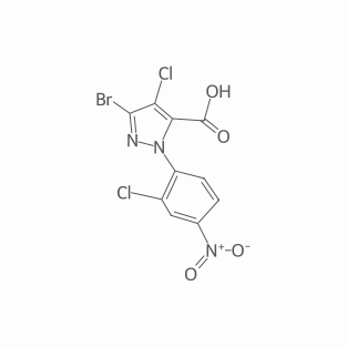 O=C(O)c1c(Cl)c(Br)nn1-c1ccc([N+](=O)[O-])cc1Cl